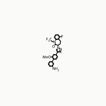 COc1cc(-c2cn(C3CCc4c(F)cccc4N(CC(F)(F)F)C3=O)nn2)ccc1-c1cccc(N)c1